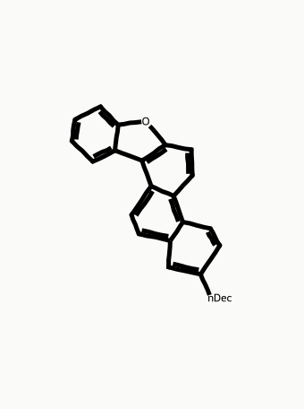 CCCCCCCCCCc1ccc2c(ccc3c2ccc2oc4ccccc4c23)c1